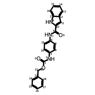 O=C(Nc1ccc(NC(=O)c2cc3ccccc3[nH]2)cc1)OCc1ccccc1